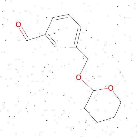 O=Cc1cccc(COC2CCCCO2)c1